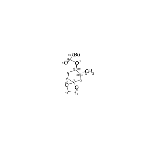 C[C@@H]1CC2(CC[C@H]1OC(=O)C(C)(C)C)OCCO2